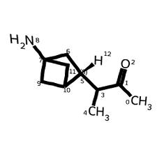 CC(=O)C(C)[C@H]1CC2(N)CC1C2